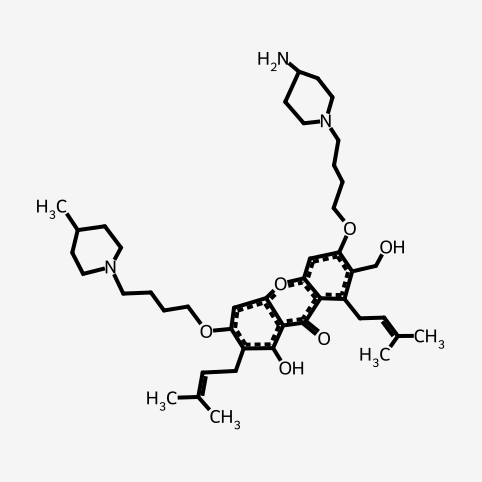 CC(C)=CCc1c(OCCCCN2CCC(C)CC2)cc2oc3cc(OCCCCN4CCC(N)CC4)c(CO)c(CC=C(C)C)c3c(=O)c2c1O